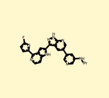 CC(C)Nc1cncc(-c2cnc3[nH]nc(-c4cc5c(-c6ccc(F)s6)nccc5[nH]4)c3c2)c1